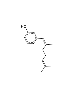 CC(C)=CCCC(C)=Cc1cccc(O)c1